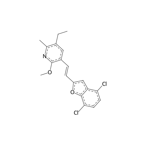 CCc1cc(C=Cc2cc3c(Cl)ccc(Cl)c3o2)c(OC)nc1C